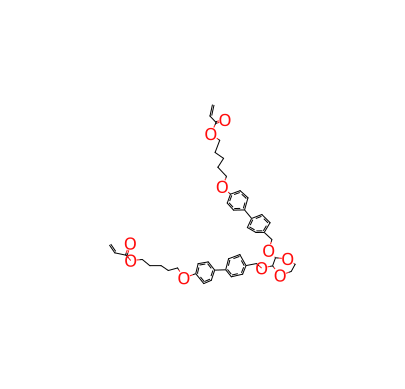 C=CC(=O)OCCCCCOc1ccc(-c2ccc(COC3OCCOC3OCc3ccc(-c4ccc(OCCCCCOC(=O)C=C)cc4)cc3)cc2)cc1